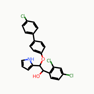 OC(c1ccc(Cl)cc1Cl)C(Oc1ccc(-c2ccc(Cl)cc2)cc1)c1ccc[nH]1